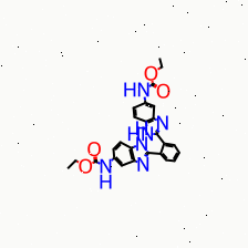 CCOC(=O)Nc1ccc2[nH]c(-c3ccccc3-c3nc4cc(NC(=O)OCC)ccc4[nH]3)nc2c1